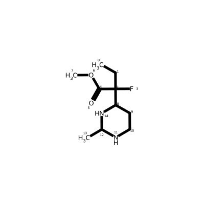 CCC(F)(C(=O)OC)C1CCNC(C)N1